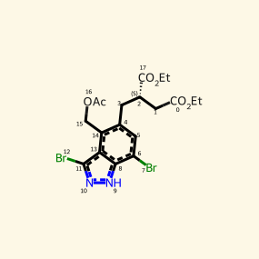 CCOC(=O)C[C@H](Cc1cc(Br)c2[nH]nc(Br)c2c1COC(C)=O)C(=O)OCC